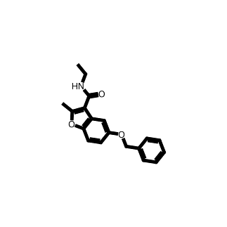 CCNC(=O)c1c(C)oc2ccc(OCc3ccccc3)cc12